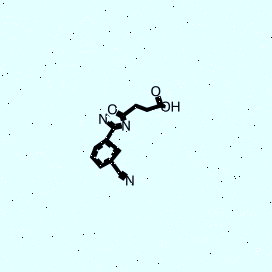 N#Cc1cccc(-c2noc(CCC(=O)O)n2)c1